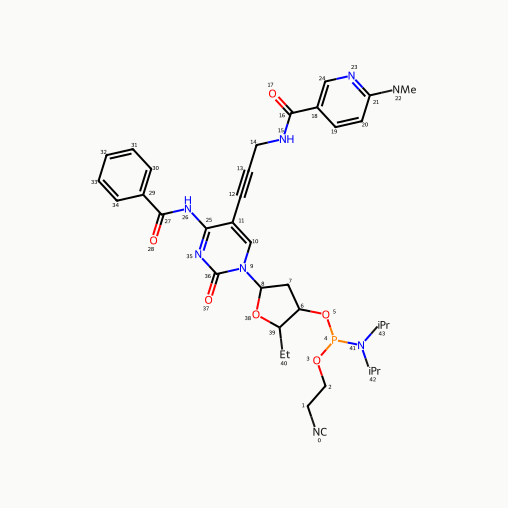 [C-]#[N+]CCOP(OC1CC(n2cc(C#CCNC(=O)c3ccc(NC)nc3)c(NC(=O)c3ccccc3)nc2=O)OC1CC)N(C(C)C)C(C)C